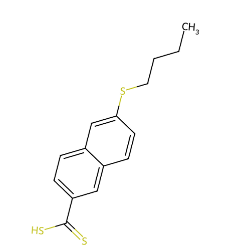 CCCCSc1ccc2cc(C(=S)S)ccc2c1